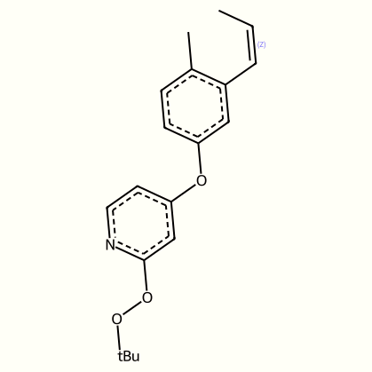 C/C=C\c1cc(Oc2ccnc(OOC(C)(C)C)c2)ccc1C